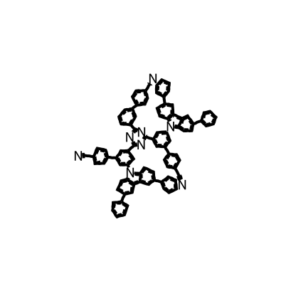 N#Cc1ccc(-c2cccc(-c3nc(-c4cc(-c5ccc(C#N)cc5)cc(-n5c6ccc(-c7ccccc7)cc6c6cc(-c7ccccc7)ccc65)c4)nc(-c4cc(-c5ccc(C#N)cc5)cc(-n5c6ccc(-c7ccccc7)cc6c6cc(-c7ccccc7)ccc65)c4)n3)c2)cc1